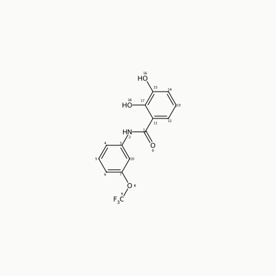 O=C(Nc1cccc(OC(F)(F)F)c1)c1c[c]cc(O)c1O